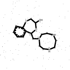 OC1COc2ccccc2C(CN2CCNCCNCC2)O1